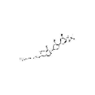 CCCCCCc1ccc2c(F)c(-c3ccc(-c4ccc(OC(F)(F)F)c(F)c4)c(F)c3)ccc2c1